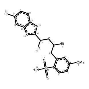 CCC(Cc1cc(OC)ccc1S(N)(=O)=O)CC(CC)c1nc2ccc(Cl)cc2s1